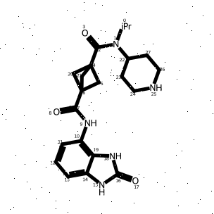 CC(C)N(C(=O)C12CC(C(=O)Nc3cccc4[nH]c(=O)[nH]c34)(C1)C2)C1CCNCC1